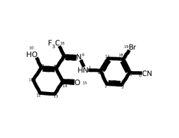 N#Cc1ccc(N/N=C(\C2=C(O)CCCC2=O)C(F)(F)F)cc1Br